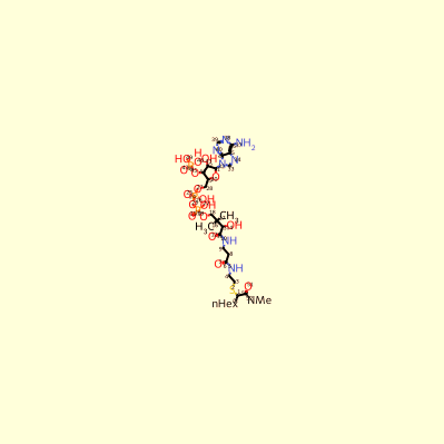 CCCCCCC(SCCNC(=O)CCNC(=O)C(O)C(C)(C)COP(=O)(O)OP(=O)(O)OCC1OC(n2cnc3c(N)ncnc32)C(O)C1OP(=O)(O)O)C(=O)NC